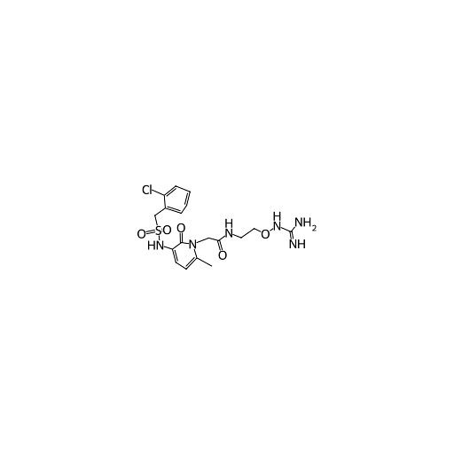 Cc1ccc(NS(=O)(=O)Cc2ccccc2Cl)c(=O)n1CC(=O)NCCONC(=N)N